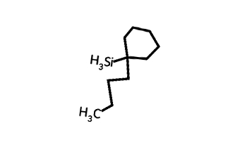 CCCCC1([SiH3])CCCCC1